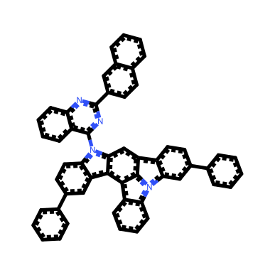 c1ccc(-c2ccc3c(c2)c2c4c5ccccc5n5c6cc(-c7ccccc7)ccc6c(cc2n3-c2nc(-c3ccc6ccccc6c3)nc3ccccc23)c45)cc1